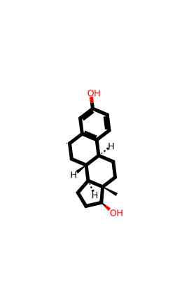 C[C@]12CC[C@@H]3c4ccc(O)cc4[CH]C[C@H]3[C@@H]1CC[C@@H]2O